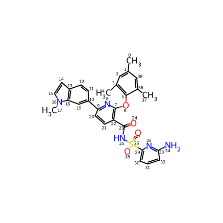 Cc1cc(C)c(Oc2nc(-c3ccc4ccn(C)c4c3)ccc2C(=O)NS(=O)(=O)c2cccc(N)n2)c(C)c1